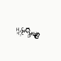 CN(C)C1CCCN(C(=O)NCC23CC4CC(CC(C4)C2)C3)C1